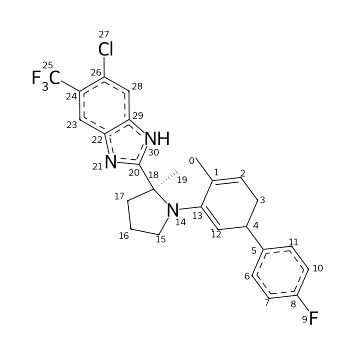 CC1=CCC(c2ccc(F)cc2)[C]=C1N1CCC[C@@]1(C)c1nc2cc(C(F)(F)F)c(Cl)cc2[nH]1